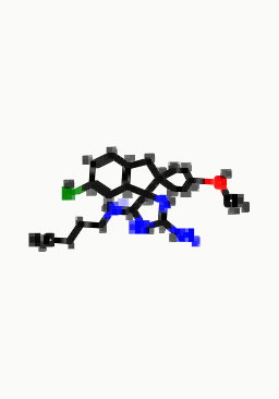 CCCC/N=C1\NC(N)=NC12c1cc(Br)ccc1CC21CCC(OC)CC1